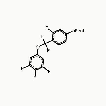 CCCCCc1ccc(C(F)(F)Oc2cc(F)c(F)c(F)c2)c(F)c1